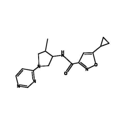 CC1CN(c2ccncn2)CC1NC(=O)c1cc(C2CC2)on1